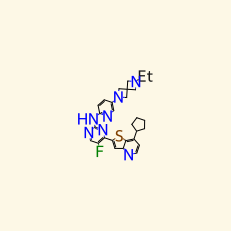 CCN1CC2(C1)CN(c1ccc(Nc3ncc(F)c(-c4cc5nccc(C6CCCC6)c5s4)n3)nc1)C2